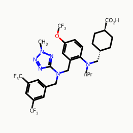 CCCN(C[C@H]1CC[C@H](C(=O)O)CC1)c1ccc(OC(F)(F)F)cc1CN(Cc1cc(C(F)(F)F)cc(C(F)(F)F)c1)c1nnn(C)n1